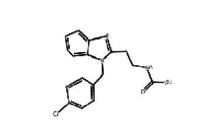 CC(C)(C)C(=O)NCCc1nc2ccccc2n1Cc1ccc(Cl)cc1